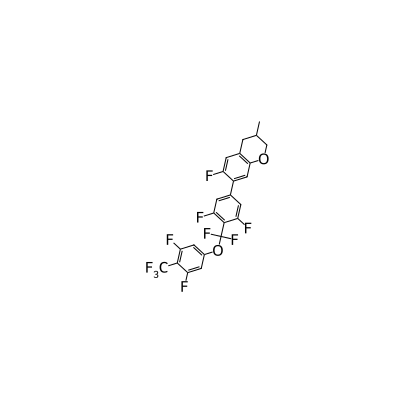 CC1COc2cc(-c3cc(F)c(C(F)(F)Oc4cc(F)c(C(F)(F)F)c(F)c4)c(F)c3)c(F)cc2C1